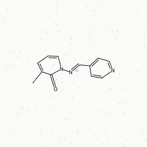 Cc1cccn(/N=C/c2ccncc2)c1=O